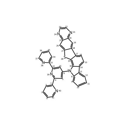 c1ccc(-c2cc(-n3c4ccccc4c4ccc5c6cc7nccnc7cc6sc5c43)cc(-c3ccccn3)n2)nc1